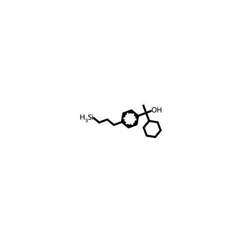 CC(O)(c1ccc(CCC[SiH3])cc1)C1CCCCC1